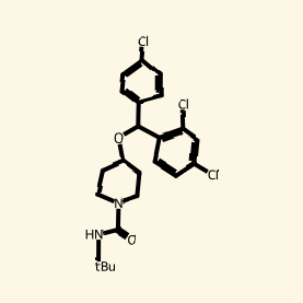 CC(C)(C)NC(=O)N1CCC(OC(c2ccc(Cl)cc2)c2ccc(Cl)cc2Cl)CC1